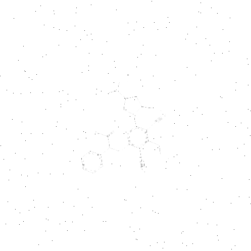 CCc1c(C#N)c(SC(C(N)=O)c2ccccc2)nc(N2CC(N(C)C)CC2C)c1C#N